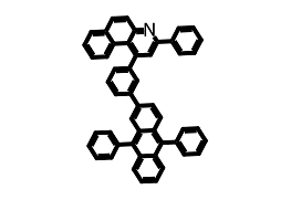 c1ccc(-c2cc(-c3cccc(-c4ccc5c(-c6ccccc6)c6ccccc6c(-c6ccccc6)c5c4)c3)c3c(ccc4ccccc43)n2)cc1